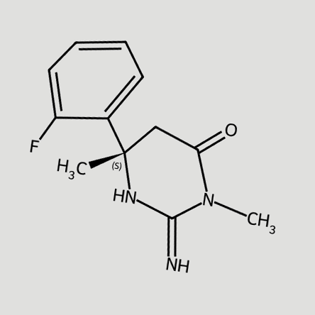 CN1C(=N)N[C@](C)(c2ccccc2F)CC1=O